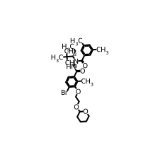 CC[C@@H](N(NC(=O)c1ccc(Br)c(OCCOC2CCCCO2)c1C)C(=O)c1cc(C)cc(C)c1)C(C)(C)C